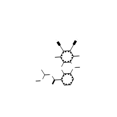 COc1cccc(C(=O)OC(C)OC)c1Oc1c(F)c(F)c(C#N)c(C#N)c1F